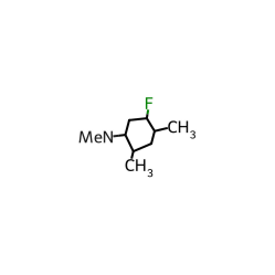 CNC1CC(F)C(C)CC1C